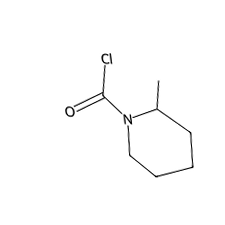 CC1CCCCN1C(=O)Cl